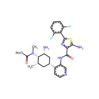 COC(=O)N(C)[C@@H]1[C@H](N)C[C@H](c2ccncc2NC(=O)c2nc(-c3c(F)cccc3F)sc2N)C[C@@H]1C